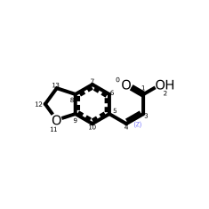 O=C(O)/C=C\c1ccc2c(c1)OCC2